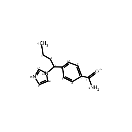 CCCC(c1ccc(C(N)=O)cc1)n1ccnc1